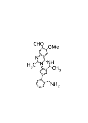 COc1cc2c(NC(C)c3cc(-c4ccccc4CN)cs3)nc(C)nc2cc1C=O